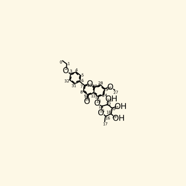 CCOc1ccc(-c2cc(=O)c3c(OC4OC(C)C(O)C(O)C4O)cc(OC)cc3o2)cc1